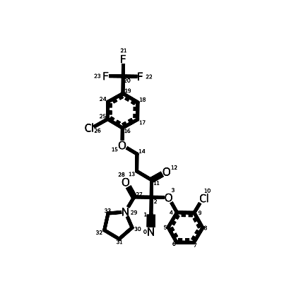 N#CC(Oc1ccccc1Cl)(C(=O)CCOc1ccc(C(F)(F)F)cc1Cl)C(=O)N1CCCC1